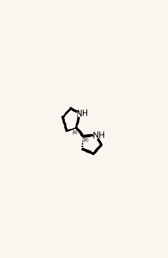 C1CN[C@@H]([C@H]2CCCN2)C1